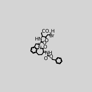 O=C(O)CC(NC(=O)[C@@H]1Cc2cccc3c2N1C(=O)[C@@H](NC(=O)OCc1ccccc1)CC3)C(=O)CBr